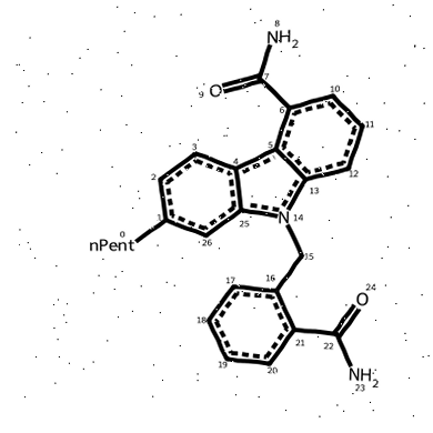 CCCCCc1c[c]c2c3c(C(N)=O)cccc3n(Cc3ccccc3C(N)=O)c2c1